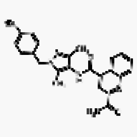 Cc1nn(Cc2ccc(C(C)(C)C)cc2)c(C)c1NC(=O)c1cc(C(N)=O)nc2ccccc12